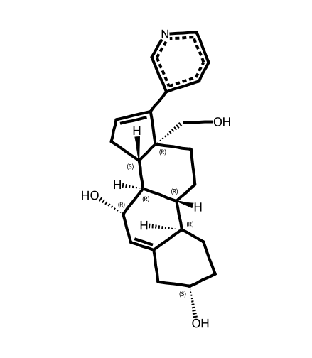 OC[C@]12CC[C@H]3[C@@H]([C@@H](O)C=C4C[C@@H](O)CC[C@@H]43)[C@@H]1CC=C2c1cccnc1